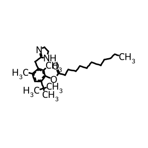 CCCCCCCCCCCC(=O)Oc1c(C(C)(C)C)cc(C)c(CC2=NCCN2)c1C